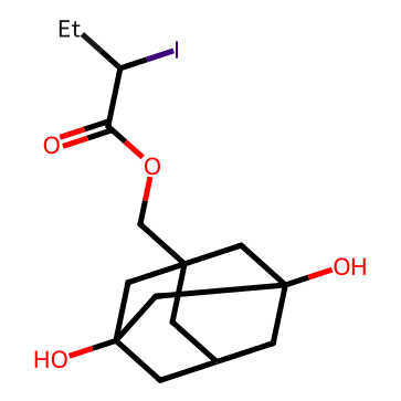 CCC(I)C(=O)OCC12CC3CC(O)(CC(O)(C3)C1)C2